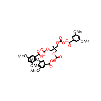 COc1cc(OC)cc(C(=O)OOC(=O)OCC(C)(COC(=O)OOC(=O)c2cc(OC)cc(OC)c2)COC(=O)OOC(=O)c2cc(OC)cc(OC)c2)c1